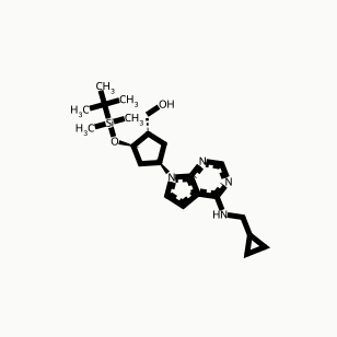 CC(C)(C)[Si](C)(C)O[C@@H]1C[C@H](n2ccc3c(NCC4CC4)ncnc32)C[C@H]1CO